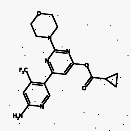 Nc1cc(C(F)(F)F)c(-c2cc(OC(=O)C3CC3)nc(N3CCOCC3)n2)cn1